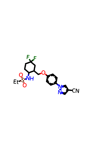 CCS(=O)(=O)NC1CCC(F)(F)CC1COc1ccc(-n2cc(C#N)cn2)cc1